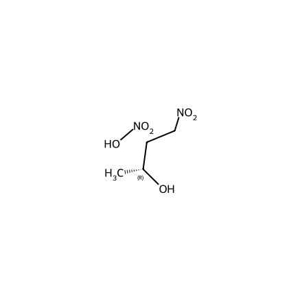 C[C@@H](O)CC[N+](=O)[O-].O=[N+]([O-])O